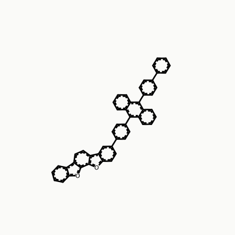 c1ccc(-c2ccc(-c3c4ccccc4c(-c4ccc(-c5ccc6oc7c(ccc8c9ccccc9oc87)c6c5)cc4)c4ccccc34)cc2)cc1